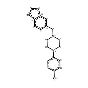 Oc1ccc(N2CCN(Cc3ccc4[nH]ccc4c3)CC2)cc1